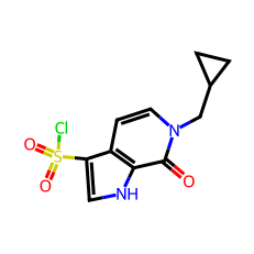 O=c1c2[nH]cc(S(=O)(=O)Cl)c2ccn1CC1CC1